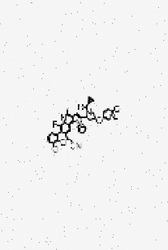 Cc1nc2c(F)c(-c3cccc(Cl)c3Cl)c(CCC#N)cc2c2c1cc(C1CC(Oc3ccc(=O)n(C)c3)CN1C(=O)C1CC1)n2C1C2CNC1C2